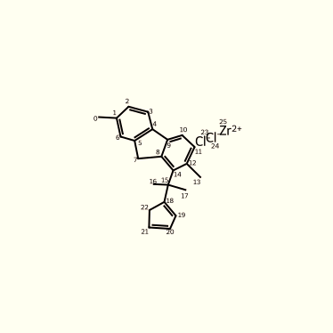 Cc1ccc2c(c1)Cc1c-2ccc(C)c1C(C)(C)C1=CC=CC1.[Cl-].[Cl-].[Zr+2]